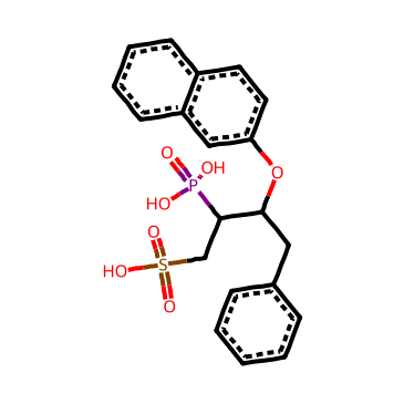 O=P(O)(O)C(CS(=O)(=O)O)C(Cc1ccccc1)Oc1ccc2ccccc2c1